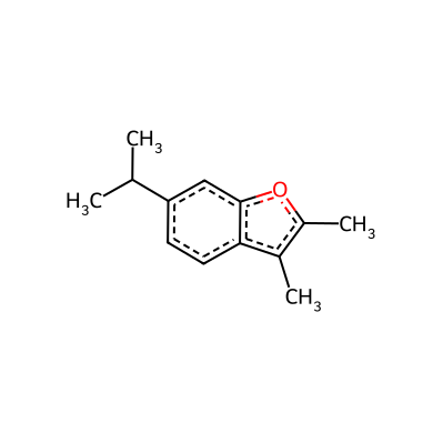 Cc1oc2cc(C(C)C)ccc2c1C